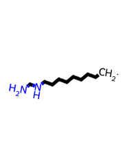 [CH2]CCCCCCCCNCN